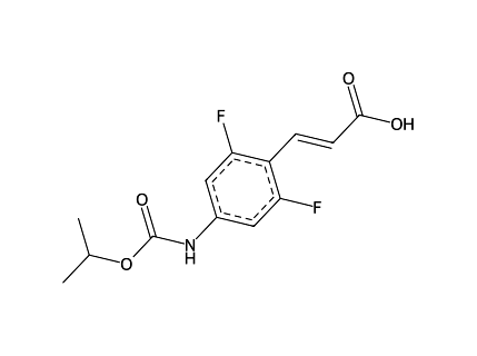 CC(C)OC(=O)Nc1cc(F)c(C=CC(=O)O)c(F)c1